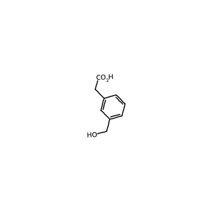 O=C(O)Cc1cccc(CO)c1